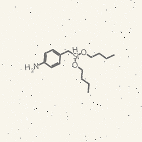 CCCCO[SiH](Cc1ccc(N)cc1)OCCCC